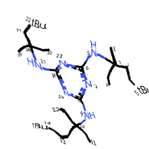 CC(C)(C)CC(C)(C)Nc1nc(NC(C)(C)CC(C)(C)C)nc(NC(C)(C)CC(C)(C)C)n1